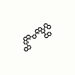 c1cc(-c2ccc3ccc4ccc(-c5cccc6ccccc56)nc4c3n2)cc(-c2ccc3ccc4c(-c5cccc6ccccc56)cc(-c5cccc6ccccc56)nc4c3n2)c1